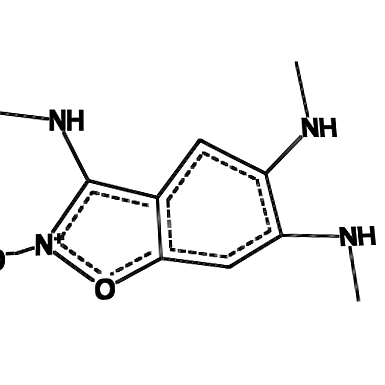 CNc1cc2o[n+]([O-])c(NC)c2cc1NC